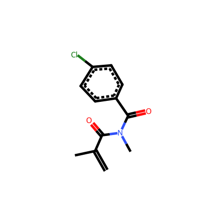 C=C(C)C(=O)N(C)C(=O)c1ccc(Cl)cc1